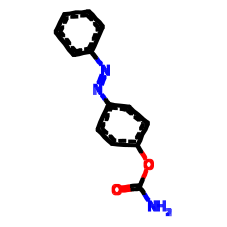 NC(=O)Oc1ccc(N=Nc2ccccc2)cc1